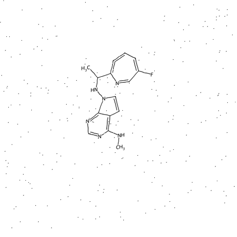 CNc1ncnc2c1ccn2NC(C)C1=C=CC=C(F)C=N1